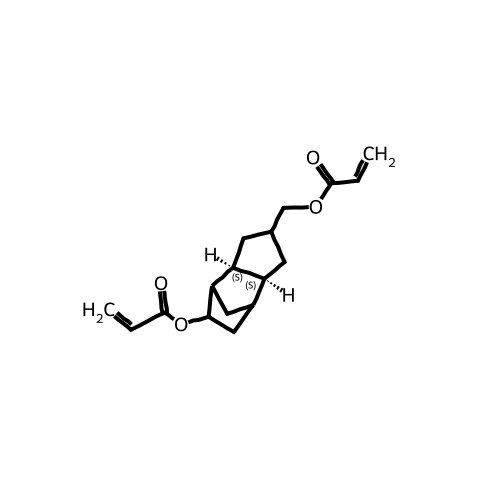 C=CC(=O)OCC1C[C@@H]2C3CC(CC3OC(=O)C=C)[C@@H]2C1